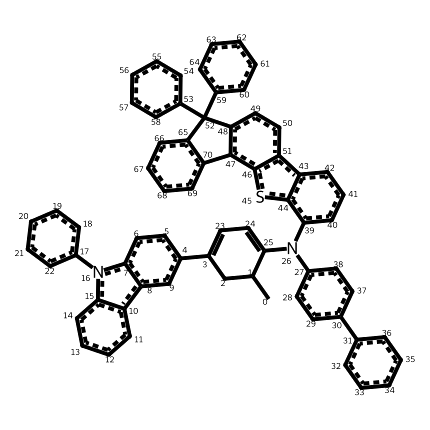 CC1CC(c2ccc3c(c2)c2ccccc2n3-c2ccccc2)=CC=C1N(c1ccc(-c2ccccc2)cc1)c1cccc2c1sc1c3c(ccc12)C(c1ccccc1)(c1ccccc1)c1ccccc1-3